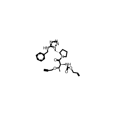 C#CCO[C@H](C)[C@H](NC(=O)OCC=C)C(=O)N1CCC[C@H]1Cn1nnnc1NCc1ccccc1